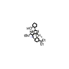 CCN(CC)c1ccc(/C=c2/c(C(C)(C)C)nn3c(-c4ccccc4O)nnc23)c(C)c1